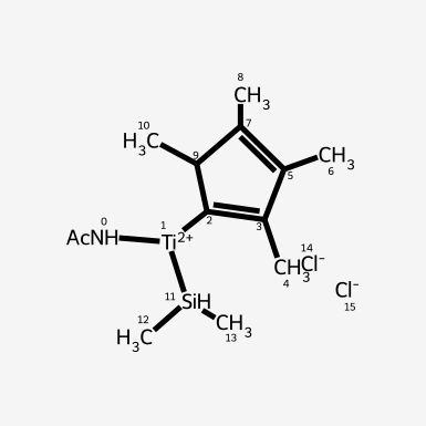 CC(=O)[NH][Ti+2]([C]1=C(C)C(C)=C(C)C1C)[SiH](C)C.[Cl-].[Cl-]